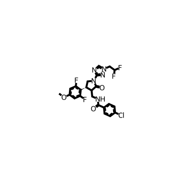 COc1cc(F)c([C@@H]2CN(c3ncn(CC(F)F)n3)C(=O)C2CNC(=O)c2ccc(Cl)cc2)c(F)c1